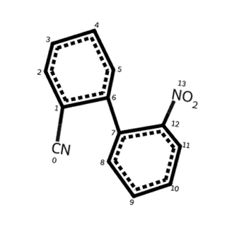 N#Cc1ccccc1-c1ccccc1[N+](=O)[O-]